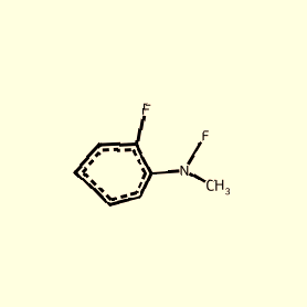 CN(F)c1ccccc1F